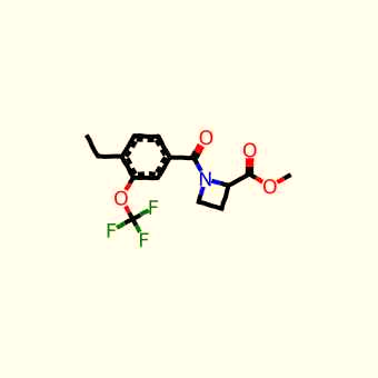 CCc1ccc(C(=O)N2CCC2C(=O)OC)cc1OC(F)(F)F